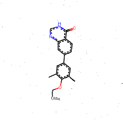 COCOc1c(C)cc(-c2ccc3c(=O)[nH]cnc3c2)cc1C